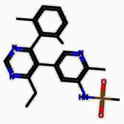 CCc1ncnc(-c2c(C)cccc2C)c1-c1cnc(C)c(NS(C)(=O)=O)c1